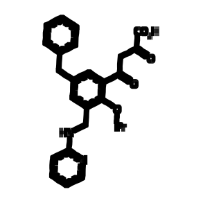 CC(C)Oc1c(CNc2ccccn2)cc(Cc2ccccc2)cc1C(=O)CC(=O)C(=O)O